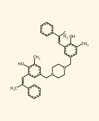 CC(=Cc1cc(CN2CCN(Cc3cc(C)c(O)c(C=C(C)c4ccccc4)c3)CC2)cc(C)c1O)c1ccccc1